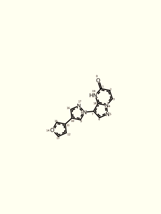 O=c1ccn2ncc(-n3cc(-c4ccoc4)cn3)c2[nH]1